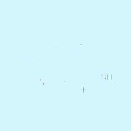 NCc1c(F)cc(-c2ccccn2)c(F)c1F